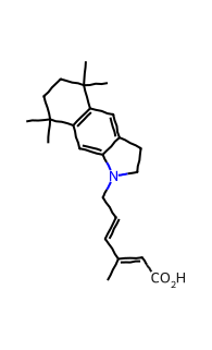 CC(C=CCN1CCc2cc3c(cc21)C(C)(C)CCC3(C)C)=CC(=O)O